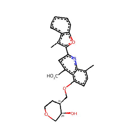 Cc1c(-c2cc(C(=O)O)c3c(OC[C@@H]4CCOC[C@@H]4O)ccc(C)c3n2)oc2ccccc12